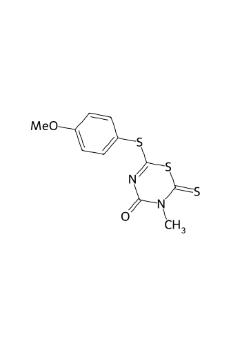 COc1ccc(Sc2nc(=O)n(C)c(=S)s2)cc1